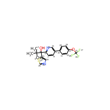 CC(C)(C)C(O)(c1ccc(-c2ccc(OC(F)(F)F)cc2)cn1)c1cncs1